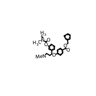 CNCCC(Oc1ccc(C(=O)OCc2ccccc2)cc1)c1cccc(OC(=O)N(C)C)c1